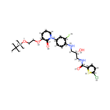 CC(C)(C)[Si](C)(C)OCCOc1cccn(-c2ccc(NC[C@H](O)CNC(=O)c3ccc(Cl)s3)c(F)c2)c1=O